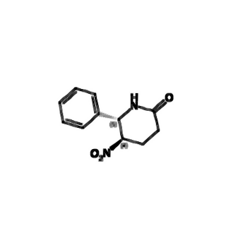 O=C1CC[C@@H]([N+](=O)[O-])[C@H](c2ccccc2)N1